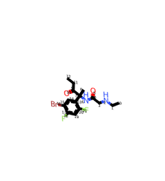 CCNCC(=O)NC(C)(C(=O)CC)c1cc(Br)c(F)cc1F